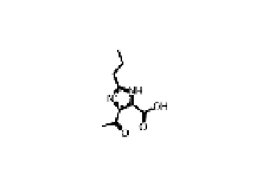 CCCc1nc(C(C)=O)c(C(=O)O)[nH]1